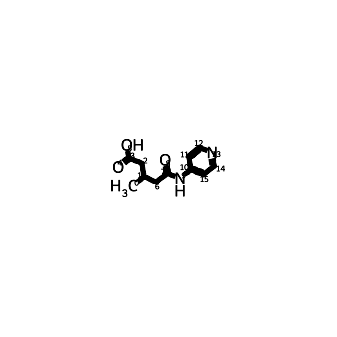 CC(CC(=O)O)CC(=O)Nc1ccncc1